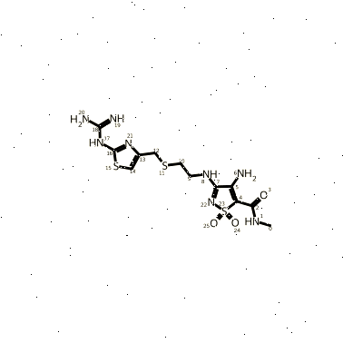 CNC(=O)C1=C(N)C(NCCSCc2csc(NC(=N)N)n2)=NS1(=O)=O